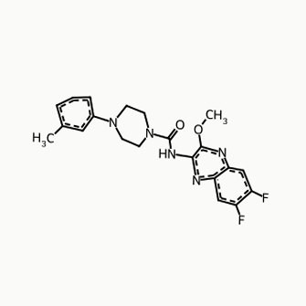 COc1nc2cc(F)c(F)cc2nc1NC(=O)N1CCN(c2cccc(C)c2)CC1